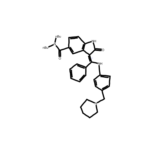 CCCCN(CCCC)C(=O)c1ccc2c(c1)/C(=C(/Nc1ccc(CN3CCCCC3)cc1)c1ccccc1)C(=O)N2